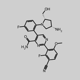 COc1ccc(C#N)c(F)c1-c1ncc(-c2cc(F)ccc2N2C[C@@H](N)C[C@H]2CO)c(C(N)=O)n1